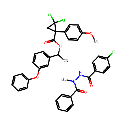 CC(C)(C)N(NC(=O)c1ccc(Cl)cc1)C(=O)c1ccccc1.CCOc1ccc(C2(C(=O)OC(C#N)c3cccc(Oc4ccccc4)c3)CC2(Cl)Cl)cc1